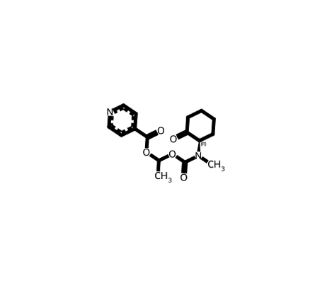 CC(OC(=O)c1ccncc1)OC(=O)N(C)[C@@H]1CCCCC1=O